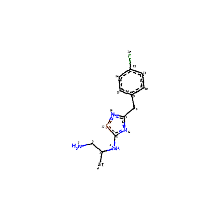 CCC(CN)Nc1nc(Cc2ccc(F)cc2)ns1